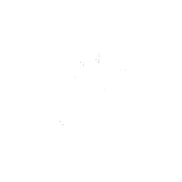 NC1CCc2n[nH]c(=O)cc2C1